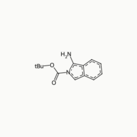 CC(C)(C)OC(=O)n1cc2ccccc2c1N